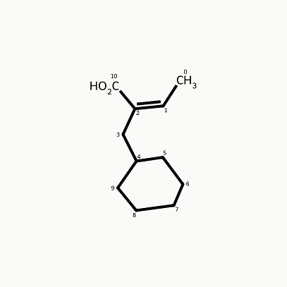 CC=C(CC1CCCCC1)C(=O)O